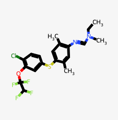 CCN(C)C=Nc1cc(C)c(Sc2ccc(Cl)c(OC(F)(F)C(F)F)c2)cc1C